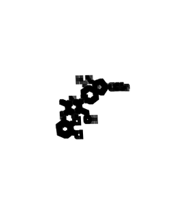 CO[C@H]1C[C@@H](N)C2(CCN(c3nc(C)c(Sc4cccc(Cl)c4Cl)nc3CO)CC2)C1